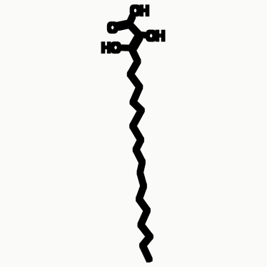 CCCCCCCCCCCCCCCCCC(O)=C(O)C(=O)O